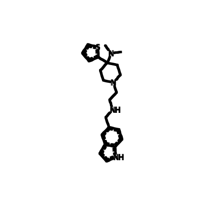 CN(C)C1(c2cccs2)CCN(CCNCc2ccc3[nH]ccc3c2)CC1